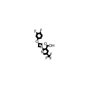 O=C(O)c1cc(C(F)(F)F)cnc1N1CC(Oc2ccc(F)c(F)c2)C1